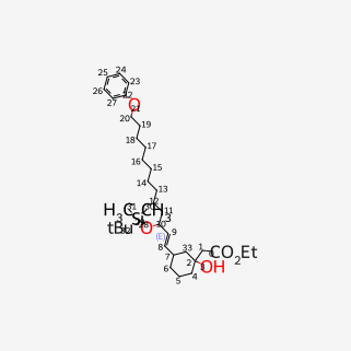 CCOC(=O)CC1(O)CCCC(/C=C/C(CCCCCCCCCCOc2ccccc2)O[Si](C)(C)C(C)(C)C)C1